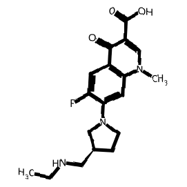 CCNC[C@@H]1CCN(c2cc3c(cc2F)c(=O)c(C(=O)O)cn3C)C1